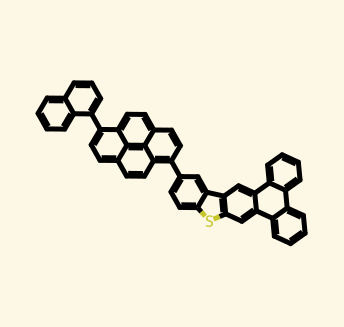 c1ccc2c(-c3ccc4ccc5c(-c6ccc7sc8cc9c%10ccccc%10c%10ccccc%10c9cc8c7c6)ccc6ccc3c4c65)cccc2c1